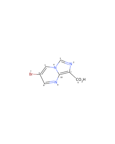 O=C(O)c1ncn2cc(Br)cnc12